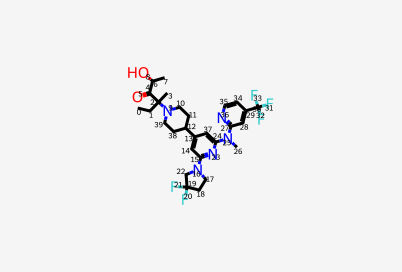 CCC(C)(C(=O)C(C)O)N1CCC(c2cc(N3CCC(F)(F)C3)nc(N(C)c3cc(C(F)(F)F)ccn3)c2)CC1